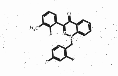 Cc1cccc(-c2nn(Cc3ccc(F)cc3F)c3ccccc3c2=O)c1F